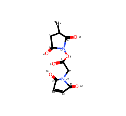 [3H]C1CC(=O)N(OC(=O)CN2C(=O)C=CC2=O)C1=O